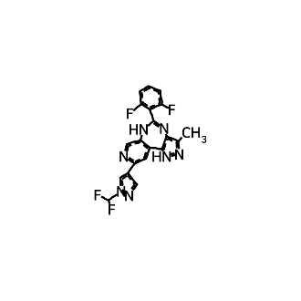 Cc1n[nH]c2c1N=C(c1c(F)cccc1F)Nc1cnc(-c3cnn(C(F)F)c3)cc1-2